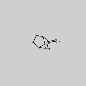 C=C1NC2CCC1C2